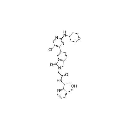 O=C(CN1Cc2ccc(-c3nc(NC4CCOCC4)ncc3Cl)cc2C1=O)N[C@H](CO)c1ncccc1F